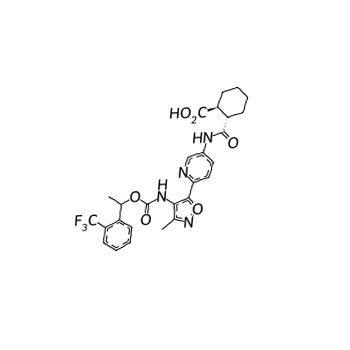 Cc1noc(-c2ccc(NC(=O)[C@H]3CCCC[C@@H]3C(=O)O)cn2)c1NC(=O)OC(C)c1ccccc1C(F)(F)F